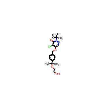 BC(B)(OCCO)c1ccc(COc2cnn(C(C)(C)C)c(=O)c2Cl)cc1